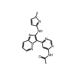 CC(=O)Nc1cc(-c2c(Nc3ccn(C)n3)nc3cccnn23)ncn1